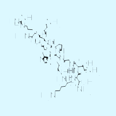 N=C(N)NCCC[C@@H](NC(=O)[C@H](CCCCN)NC(=O)[C@H](Cc1cnc[nH]1)NC(=O)[C@@H]1CCCN1C(=O)[C@@H](CCCN)NC(=O)CNC(=O)[C@@H](NC(=O)[C@@H](NC(=O)[C@@H](N)CCCCN)[C@@H](O)CN)[C@@H](O)CN)C(N)=O